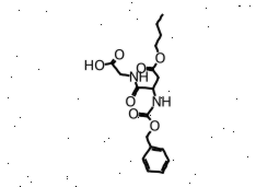 CCCCOC(=O)CC(NC(=O)OCc1ccccc1)C(=O)NCC(=O)O